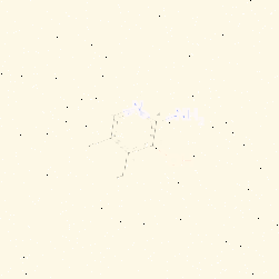 Cc1cnc(N)c(O)c1C